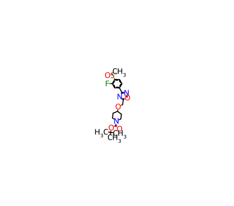 C[S+]([O-])c1ccc(-c2noc(COC3CCN(C(=O)OC(C)(C)C)CC3)n2)cc1F